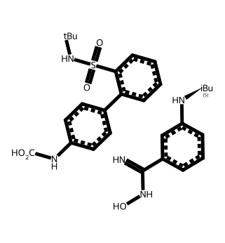 CC(C)(C)NS(=O)(=O)c1ccccc1-c1ccc(NC(=O)O)cc1.CC[C@H](C)Nc1cccc(C(=N)NO)c1